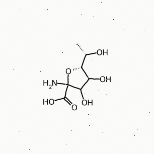 C[C@H](O)[C@H]1OC(N)(C(=O)O)C(O)C1O